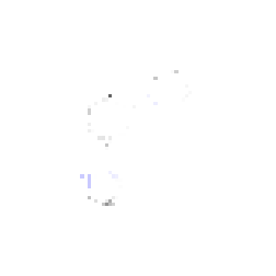 [CH]1CCN(c2cccc(-n3cccn3)c2)C1